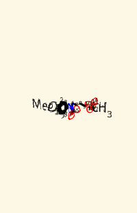 COc1ccc(N2C[C@H](CCOS(C)(=O)=O)OC2=O)cc1